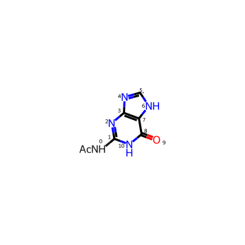 CC(=O)Nc1nc2n[c][nH]c2c(=O)[nH]1